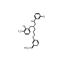 CC(CN(CCCOC1=CC(=CC(=O)O)CC=C1)Cc1cccc(C(F)(F)F)c1Cl)c1cccc(Cl)c1